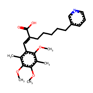 COc1c(C)c(OC)c(OC)c(C)c1/C=C(\CCCCCc1cccnc1)C(=O)O